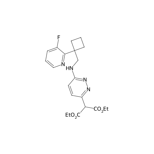 CCOC(=O)C(C(=O)OCC)c1ccc(NCC2(c3ncccc3F)CCC2)nn1